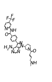 CNCC=CC(=O)N1CCC(n2nc(-c3ccc(C(=O)Nc4cc(C(F)(F)F)ccn4)cc3)c3c(N)ncnc32)C1